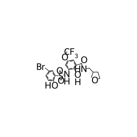 O=C(NCC1CCOC1)c1cc(OC(F)(F)F)cc(NS(=O)(=O)c2cc(Br)ccc2O)c1O